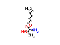 CCCCCCCOC(=O)C(N)C(C)O